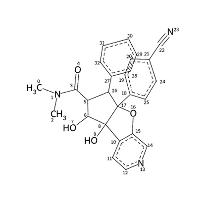 CN(C)C(=O)C1C(O)C2(O)c3ccncc3OC2(c2ccc(C#N)cc2)C1c1ccccc1